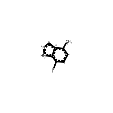 Cc1ccc(F)c2[nH]ncc12